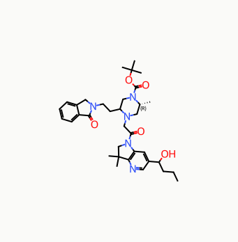 CCCC(O)c1cnc2c(c1)N(C(=O)CN1C[C@@H](C)N(C(=O)OC(C)(C)C)CC1CCN1Cc3ccccc3C1=O)CC2(C)C